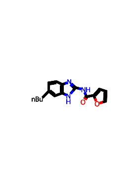 CCCCc1ccc2nc(NC(=O)c3ccco3)[nH]c2c1